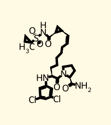 CC1(S(=O)(=O)NC(=O)[C@H]2C[C@H]2/C=C\CCCCC[C@H](Nc2cc(Cl)cc(Cl)c2)C(=O)N2CCC[C@H]2C(N)=O)CC1